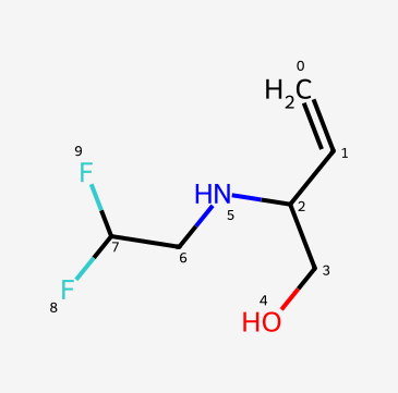 C=CC(CO)NCC(F)F